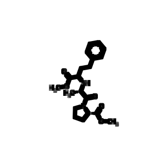 COC(=O)C(CCc1ccccc1)N[C@@H](C)C(=O)N1CCC[C@H]1C(=O)OC